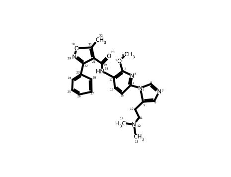 COc1nc(-n2cncc2CCN(C)C)ccc1NC(=O)c1c(-c2ccccc2)noc1C